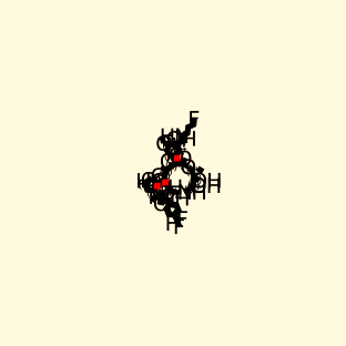 CC[C@H]1OC(=O)[C@H](C)[C@@H](O[C@H]2C[C@@](C)(OC)[C@](O)(CNCCCF)[C@H](C)O2)[C@H](C)[C@@H](O[C@@H]2O[C@H](C)C[C@H](N(C)S(=O)(=O)Nc3ccc(C(F)(F)F)cc3)[C@H]2O)[C@](C)(O)C[C@@H](C)CN[C@H](C)[C@@H](O)[C@]1(C)O